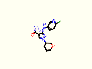 NC(=O)c1cn(C2CCCOC2)nc1Nc1ccc(F)nc1